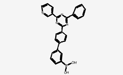 OB(O)c1cccc(-c2ccc(-c3nc(-c4ccccc4)nc(-c4cccnc4)n3)cc2)c1